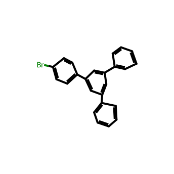 Brc1ccc(-c2cc(-c3ccccc3)cc(-c3ccccc3)c2)cc1